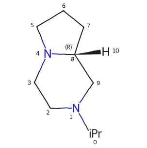 CC(C)N1CCN2CCC[C@@H]2C1